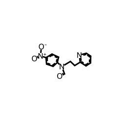 O=CN(CCc1ccccn1)c1ccc([N+](=O)[O-])cc1